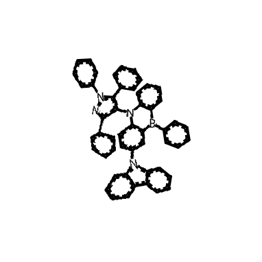 c1ccc(B2c3ccccc3N(c3c(-c4ccccc4)nn(-c4ccccc4)c3-c3ccccc3)c3ccc(-n4c5ccccc5c5ccccc54)cc32)cc1